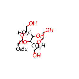 CC(C)COCCOCCO.O=C(O)C(O)C(O)C(=O)O.OCCOCCO